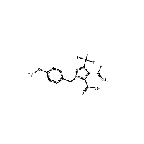 C=C(F)c1c(C(F)(F)F)nn(Cc2ccc(OC)cc2)c1C(=O)O